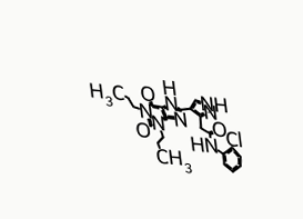 CCCn1c(=O)c2[nH]c(-c3c[nH]nc3CC(=O)Nc3ccccc3Cl)nc2n(CCC)c1=O